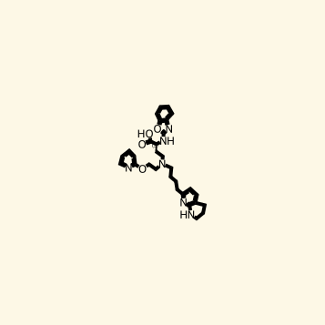 O=C(O)[C@H](CCN(CCCCc1ccc2c(n1)NCCC2)CCOc1ccccn1)Nc1nc2ccccc2o1